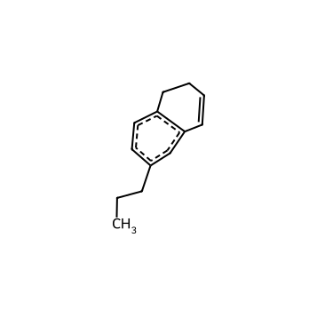 CCCc1ccc2c(c1)C=CCC2